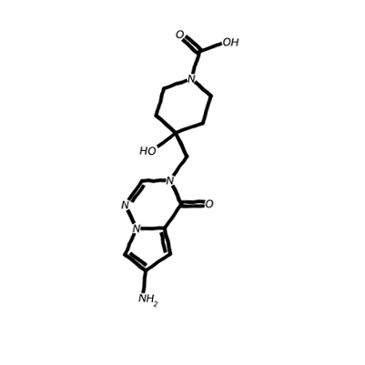 Nc1cc2c(=O)n(CC3(O)CCN(C(=O)O)CC3)cnn2c1